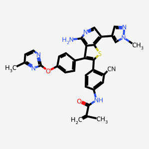 C=C(C)C(=O)Nc1ccc(-c2sc3c(-c4cnn(C)c4)cnc(N)c3c2-c2ccc(Oc3nccc(C)n3)cc2)c(C#N)c1